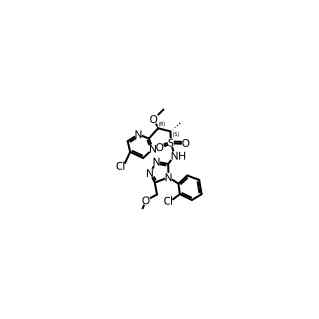 COCc1nnc(NS(=O)(=O)[C@@H](C)[C@H](OC)c2ncc(Cl)cn2)n1-c1ccccc1Cl